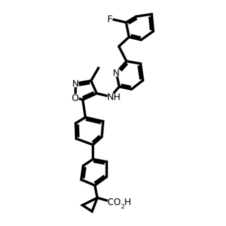 Cc1noc(-c2ccc(-c3ccc(C4(C(=O)O)CC4)cc3)cc2)c1Nc1cccc(Cc2ccccc2F)n1